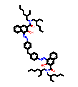 CCCCC(CC)CN(CC(CC)CCCC)C(=O)c1cc2ccccc2c(/N=N/c2ccc(Cc3ccc(/N=N/c4c(O)c(C(=O)N(CC(CC)CCCC)CC(CC)CCCC)cc5ccccc45)cc3)cc2)c1O